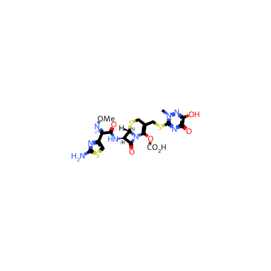 CO/N=C(\C(=O)N[C@@H]1C(=O)N2C(OC(=O)O)=C(CSc3nc(=O)c(O)nn3C)CS[C@@H]12)c1csc(N)n1